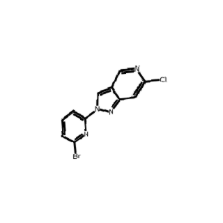 Clc1cc2nn(-c3cccc(Br)n3)cc2cn1